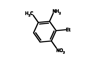 CCc1c([N+](=O)[O-])ccc(C)c1N